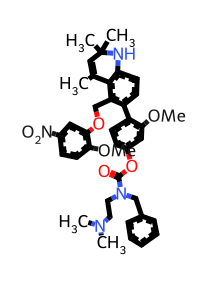 COc1ccc([N+](=O)[O-])cc1OCc1c(-c2ccc(OC(=O)N(CCN(C)C)Cc3ccccc3)cc2OC)ccc2c1C(C)=CC(C)(C)N2